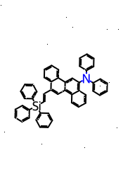 C(=C\[Si](c1ccccc1)(c1ccccc1)c1ccccc1)/c1cc2c3ccccc3c(N(c3ccccc3)c3ccccc3)cc2c2ccccc12